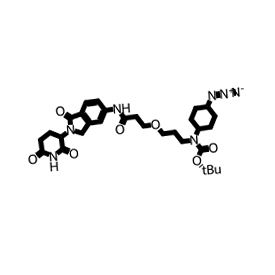 CC(C)(C)OC(=O)N(CCCOCCC(=O)Nc1ccc2c(c1)CN(C1CCC(=O)NC1=O)C2=O)C1CCC(N=[N+]=[N-])CC1